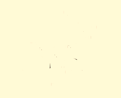 C=CCCCCN(C)C(=O)[C@H](Cc1cc(F)ccc1Br)N(C)C(=O)[C@H](CC(C)C)NC(=O)OC(C)(C)C